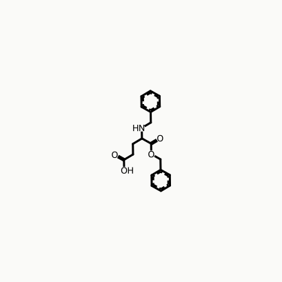 O=C(O)CCC(NCc1ccccc1)C(=O)OCc1ccccc1